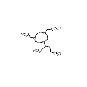 O=CCCC(C(=O)O)N1CCN(CC(=O)O)CCN(CC(=O)O)CC1